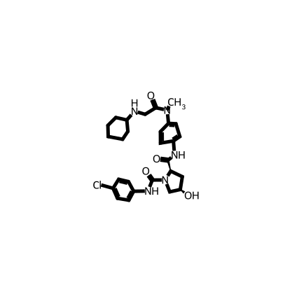 CN(C(=O)CNC1CCCCC1)c1ccc(NC(=O)[C@H]2C[C@@H](O)CN2C(=O)Nc2ccc(Cl)cc2)cc1